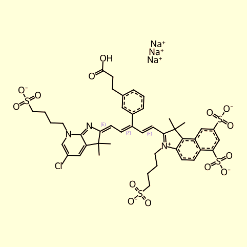 CC1(C)C2=CC(Cl)=CN(CCCCS(=O)(=O)[O-])C2=N/C1=C/C=C(/C=C/C1=[N+](CCCCS(=O)(=O)[O-])c2ccc3c(S(=O)(=O)[O-])cc(S(=O)(=O)[O-])cc3c2C1(C)C)c1cccc(CCC(=O)O)c1.[Na+].[Na+].[Na+]